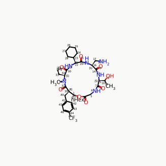 CCCCCC[C@H]1OC(=O)CNC(=O)[C@H](C(C)O)NC(=O)[C@H](CN)NC(=O)[C@H](C2CCCCC2)NC(=O)[C@H](CC(C)C)N(C)C(=O)[C@@H]1Cc1ccc(C(F)(F)F)cc1